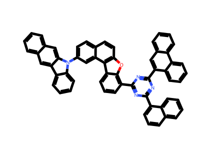 c1ccc2cc3c(cc2c1)c1ccccc1n3-c1ccc2ccc3oc4c(-c5nc(-c6cccc7ccccc67)nc(-c6cc7ccccc7c7ccccc67)n5)cccc4c3c2c1